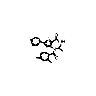 Cc1ccc(C(=O)N(c2cc(-c3ccccc3)sc2C(=O)O)C(C)C)c(C)c1